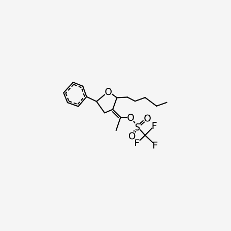 CCCCCC1OC(c2ccccc2)CC1=C(C)OS(=O)(=O)C(F)(F)F